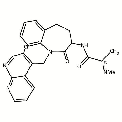 CN[C@@H](C)C(=O)NC1CCc2ccccc2N(Cc2c(Cl)cnc3ncccc23)C1=O